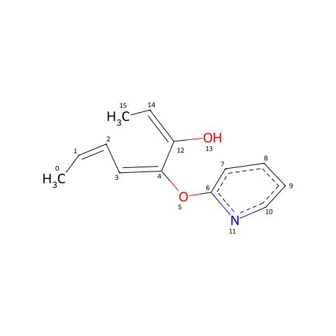 C\C=C/C=C(Oc1ccccn1)\C(O)=C/C